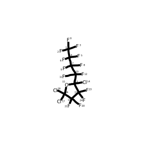 FC(F)(F)C(F)(F)C(F)(F)C(F)(F)C1(Cl)OC(Cl)(Cl)C(F)(F)C1(F)F